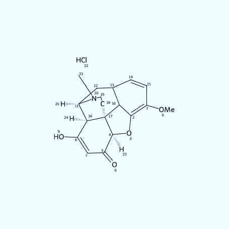 COC1=C2O[C@H]3C(=O)C=C(O)[C@H]4[C@H]5CC(C=C1)C2[C@@]34CCN5C.Cl